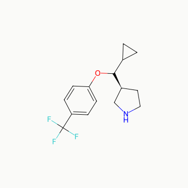 FC(F)(F)c1ccc(OC(C2CC2)[C@H]2CCNC2)cc1